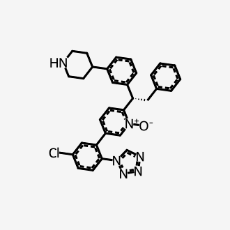 [O-][n+]1cc(-c2cc(Cl)ccc2-n2cnnn2)ccc1[C@@H](Cc1ccccc1)c1cccc(C2CCNCC2)c1